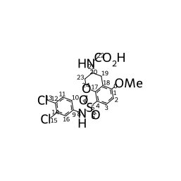 COc1ccc(S(=O)(=O)Nc2ccc(Cl)c(Cl)c2)c2c1C[C@@H](NC(=O)O)CO2